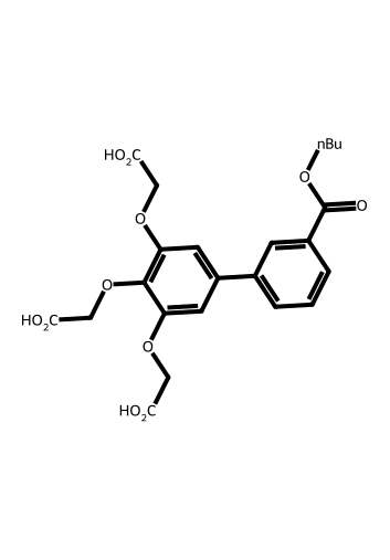 CCCCOC(=O)c1cccc(-c2cc(OCC(=O)O)c(OCC(=O)O)c(OCC(=O)O)c2)c1